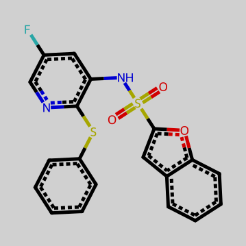 O=S(=O)(Nc1cc(F)cnc1Sc1ccccc1)c1cc2ccccc2o1